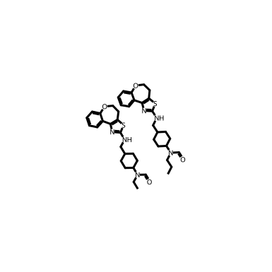 CCCN(C=O)C1CCC(CNc2nc3c(s2)CCOc2ccccc2-3)CC1.CCN(C=O)C1CCC(CNc2nc3c(s2)CCOc2ccccc2-3)CC1